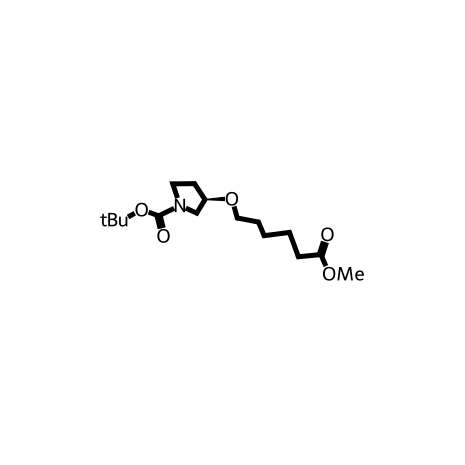 COC(=O)CCCCCO[C@@H]1CCN(C(=O)OC(C)(C)C)C1